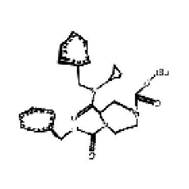 CC(C)(C)OC(=O)N1CCN(C(=O)OCc2ccccc2)C(C(=O)N(Cc2ccccc2)C2CC2)C1